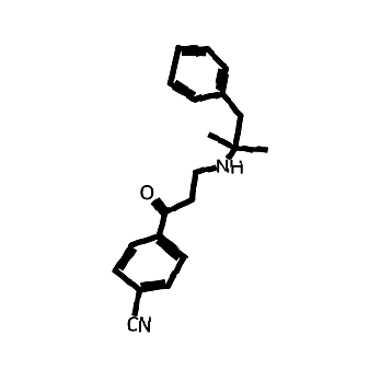 CC(C)(Cc1ccccc1)NCCC(=O)c1ccc(C#N)cc1